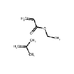 C=C(C)C.C=CC(=O)OCC